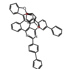 c1ccc(-c2ccc(-c3nc(-c4ccccc4-c4nc(-c5ccc(-c6ccccc6)cc5)nc5oc6ccccc6c45)c4c(n3)oc3ccccc34)cc2)cc1